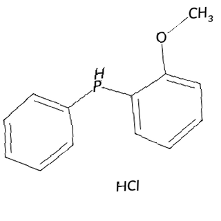 COc1ccccc1Pc1ccccc1.Cl